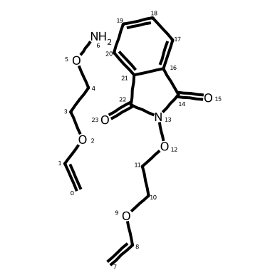 C=COCCON.C=COCCON1C(=O)c2ccccc2C1=O